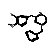 CCc1cc(C[C@@H]2CN(Cc3ccccc3)CCN2)ccc1C(=O)O